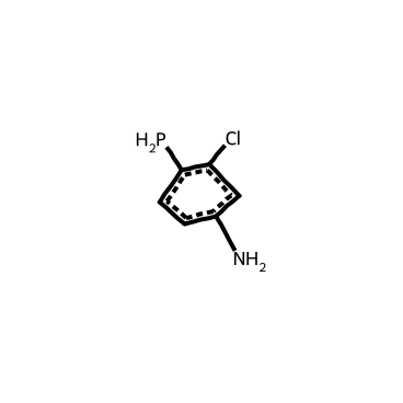 Nc1ccc(P)c(Cl)c1